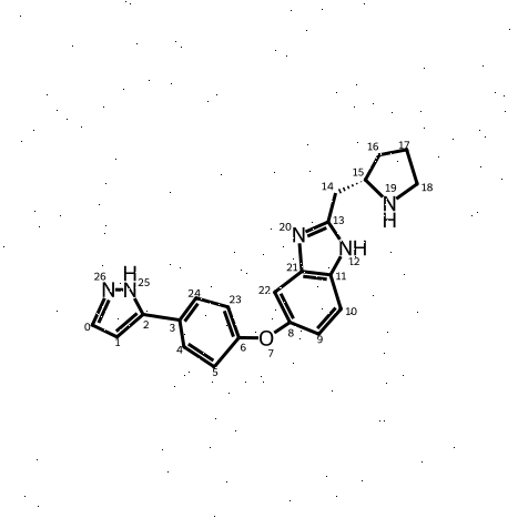 c1cc(-c2ccc(Oc3ccc4[nH]c(C[C@@H]5CCCN5)nc4c3)cc2)[nH]n1